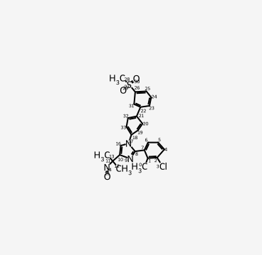 Cc1c(Cl)cccc1-c1nc(C(C)(C)N=O)cn1-c1ccc(-c2cccc(S(C)(=O)=O)c2)cc1